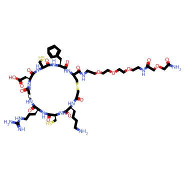 N=C(N)NCCC[C@@H]1NC(=O)[C@H](CS)NC(=O)[C@H](CCCCN)NC(=O)CSCC(C(=O)NCCOCCOCCOCCNC(=O)COCC(N)=O)NC(=O)[C@H](Cc2ccccc2)NC(=O)C(CS)NC(=O)[C@H](CC(=O)O)NC(=O)CNC1=O